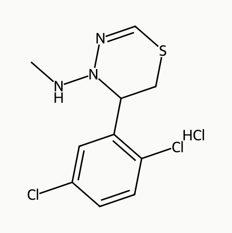 CNN1N=CSCC1c1cc(Cl)ccc1Cl.Cl